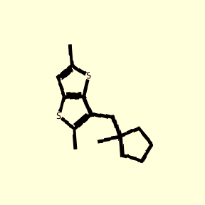 Cc1cc2sc(C)c(CC3(C)CCCC3)c2s1